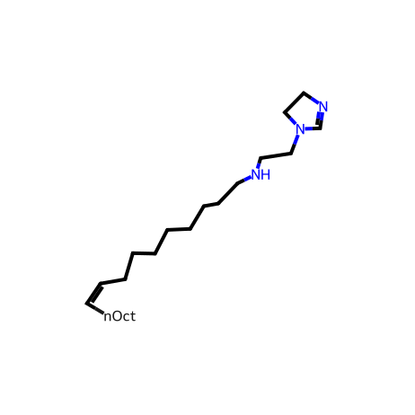 CCCCCCCC/C=C\CCCCCCCCNCCN1C=NCC1